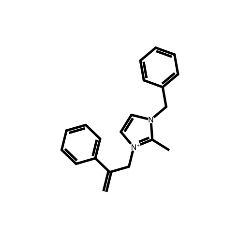 C=C(C[n+]1ccn(Cc2ccccc2)c1C)c1ccccc1